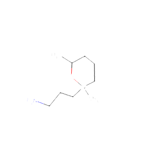 CC1CCC[Si](C)(CCCN)O1